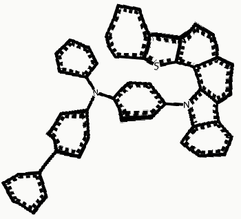 c1ccc(-c2ccc(N(c3ccccc3)c3ccc(-n4c5ccccc5c5ccc6ccc7c8ccccc8sc7c6c54)cc3)cc2)cc1